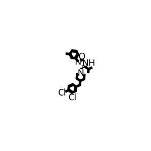 Cc1ccc2oc(N[C@H](CN3CCC(Cc4ccc(Cl)c(Cl)c4)CC3)C(C)C)nc2c1